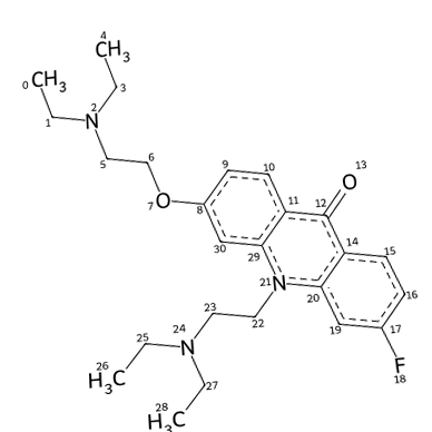 CCN(CC)CCOc1ccc2c(=O)c3ccc(F)cc3n(CCN(CC)CC)c2c1